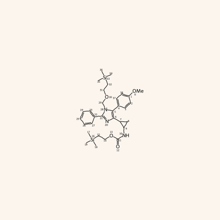 COc1ccc(-c2c(C3CC3NC(=O)OCC[Si](C)(C)C)nc(-c3ccccc3)n2COCC[Si](C)(C)C)cc1